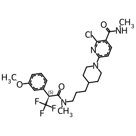 CNC(=O)c1ccc(N2CCC(CCCN(C)C(=O)[C@H](c3cccc(OC)c3)C(F)(F)F)CC2)nc1Cl